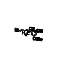 CC/C=C/CCC(C)(C)c1cc(O)cc(OC)c1